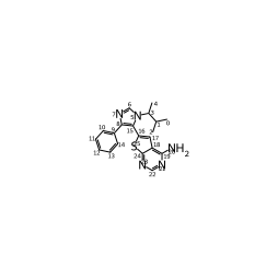 CC(C)C(C)n1cnc(-c2ccccc2)c1-c1cc2c(N)ncnc2s1